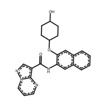 O=C(Nc1cc2ccccc2cc1OC1CCC(O)CC1)c1cnn2cccnc12